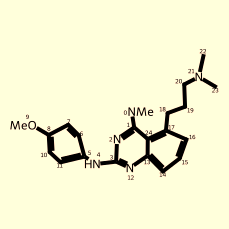 CNc1nc(Nc2ccc(OC)cc2)nc2cccc(CCCN(C)C)c12